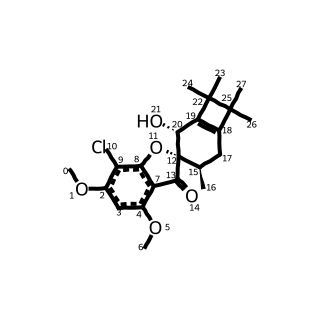 COc1cc(OC)c2c(c1Cl)O[C@@]1(C2=O)[C@H](C)CC2=C([C@H]1O)C(C)(C)C2(C)C